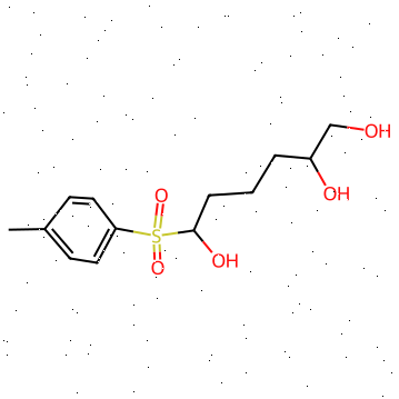 Cc1ccc(S(=O)(=O)C(O)CCCC(O)CO)cc1